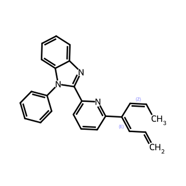 C=C/C=C(\C=C/C)c1cccc(-c2nc3ccccc3n2-c2ccccc2)n1